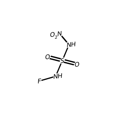 O=[N+]([O-])NS(=O)(=O)NF